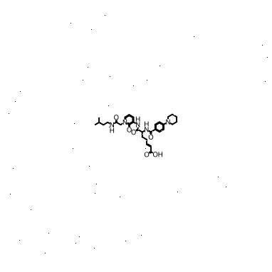 CC(C)CCNC(=O)Cn1cccc(NC(=O)C(CC/C=C/C(=O)O)NC(=O)c2ccc(N3CCCCC3)cc2)c1=O